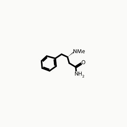 CN[C@H](CC(N)=O)Cc1ccccc1